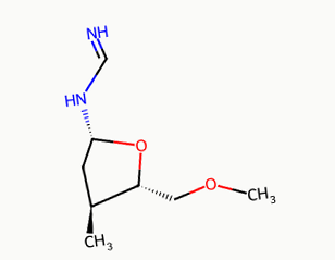 COC[C@H]1O[C@@H](NC=N)C[C@@H]1C